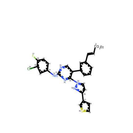 CCOC(=O)/C=C/c1cccc(-c2cnc(Nc3ccc(F)c(Cl)c3)nc2-n2ccc(-c3ccsc3)n2)c1